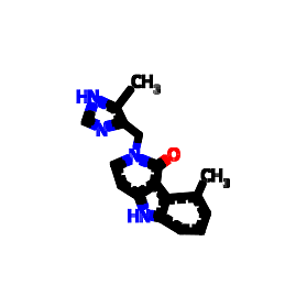 Cc1[nH]cnc1Cn1ccc2[nH]c3cccc(C)c3c2c1=O